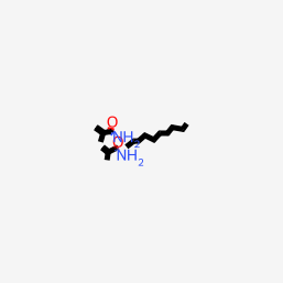 C=C(C)C(N)=O.C=C(C)C(N)=O.CCCCCCCCCC